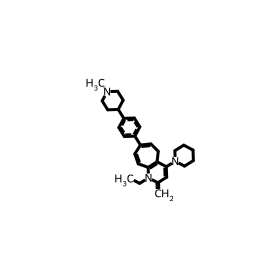 C=C1C=C(N2CCCCC2)C2=C(C=CC(c3ccc(C4CCN(C)CC4)cc3)=CC2)N1CC